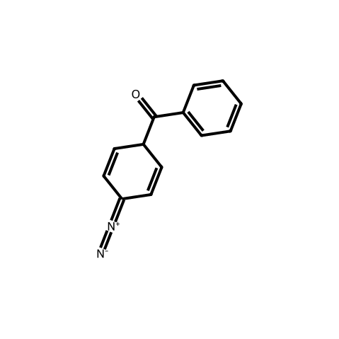 [N-]=[N+]=C1C=CC(C(=O)c2ccccc2)C=C1